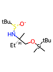 CC[C@](C)(CO[Si](C)(C)C(C)(C)C)N[S+]([O-])C(C)(C)C